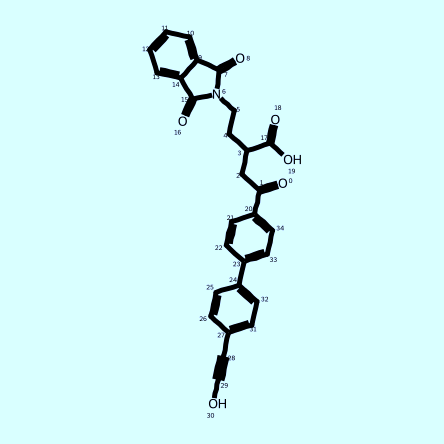 O=C(CC(CCN1C(=O)c2ccccc2C1=O)C(=O)O)c1ccc(-c2ccc(C#CO)cc2)cc1